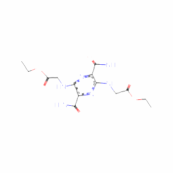 CCOC(=O)CNc1nc(C(N)=O)c(NCC(=O)OCC)nc1C(N)=O